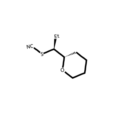 CC[C@H](SC#N)[C@@H]1CCCCO1